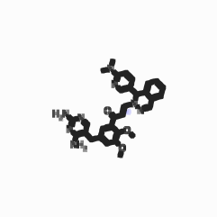 COc1cc(Cc2cnc(N)nc2N)cc(C(=O)/C=C/N2N=Cc3ccccc3C2c2ccc(N(C)C)nc2)c1OC